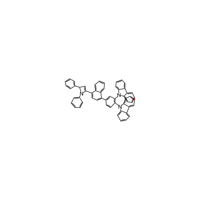 C1=C(c2ccc(-c3ccc(-n4c5ccccc5c5ccccc54)c(-n4c5ccccc5c5ccccc54)c3)c3ccccc23)N(c2ccccc2)C1c1ccccc1